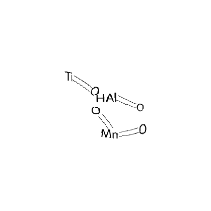 [O]=[AlH].[O]=[Mn]=[O].[O]=[Ti]